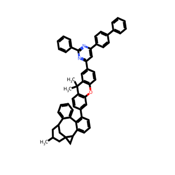 CC1CC2CC3(C1)CC3c1cccc(-c3ccc4c(c3)Oc3ccc(-c5cc(-c6ccc(-c7ccccc7)cc6)nc(-c6ccccc6)n5)cc3C4(C)C)c1-c1ccccc12